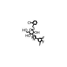 OCC1O[C@H](SCc2ccccc2Cl)C(O)[C@@H](n2cc(-c3cc(F)c(F)c(F)c3)nn2)[C@H]1O